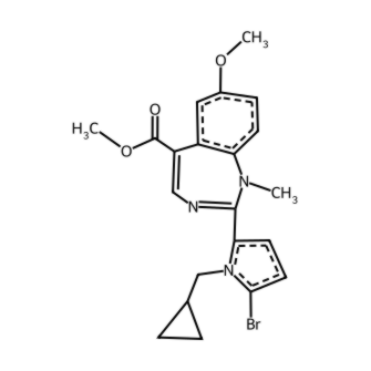 COC(=O)C1=CN=C(c2ccc(Br)n2CC2CC2)N(C)c2ccc(OC)cc21